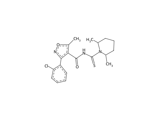 Cc1onc(-c2ccccc2Cl)c1C(=O)NC(=S)N1C(C)CCCC1C